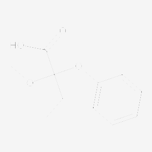 CCC(OC)(Oc1ccccc1)C(=O)O